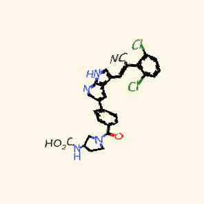 N#C/C(=C\c1c[nH]c2ncc(-c3ccc(C(=O)N4CCC(NC(=O)O)C4)cc3)cc12)c1c(Cl)cccc1Cl